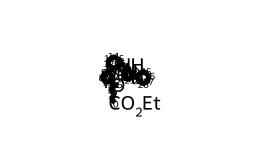 CCOC(=O)CCCC(=O)N1CCCC(N2CCCCC(Nc3nccc(N4CCCCCC4)n3)C2)C1